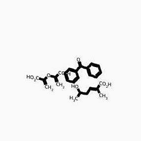 C/C(=C\CC(C)O)C(=O)O.C=C(OC(=C)C(=O)O)C(=O)O.O=C(c1ccccc1)c1ccccc1